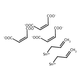 C=C[CH2][Sn+3].C=C[CH2][Sn+3].O=C([O-])/C=C\C(=O)[O-].O=C([O-])/C=C\C(=O)[O-].O=C([O-])/C=C\C(=O)[O-]